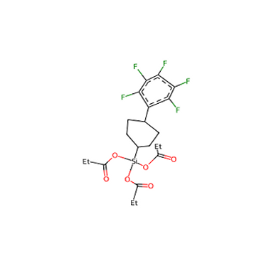 CCC(=O)O[Si](OC(=O)CC)(OC(=O)CC)C1CCC(c2c(F)c(F)c(F)c(F)c2F)CC1